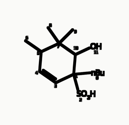 CCCCC1(S(=O)(=O)O)C=CC(C)C(C)(C)C1O